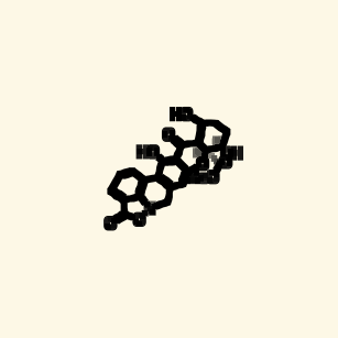 COC(=O)[C@]12Oc3cc4c(c(O)c3C(=O)C1=C(O)CC[C@@H]2O)-c1cccc2c(=O)on(c12)C4